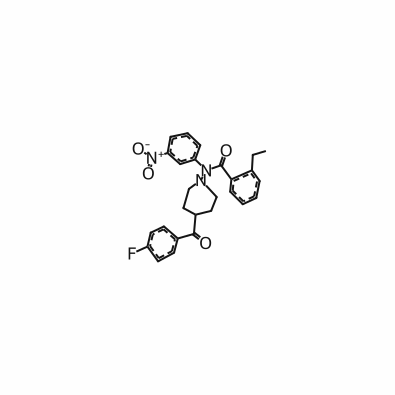 CCc1ccccc1C(=O)N(c1cccc([N+](=O)[O-])c1)N1CCC(C(=O)c2ccc(F)cc2)CC1